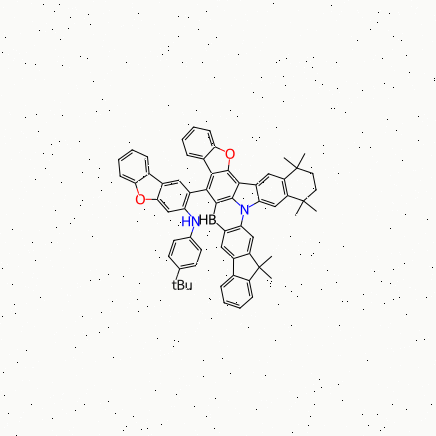 CC(C)(C)c1ccc(Nc2cc3oc4ccccc4c3cc2-c2c3c4c(c5cc6c(cc5n4-c4cc5c(cc4B3)-c3ccccc3C5(C)C)C(C)(C)CCC6(C)C)c3oc4ccccc4c23)cc1